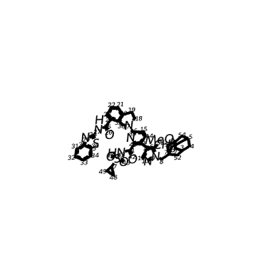 COC12CC3CC(CC(Cn4ncc(-c5ccc(N6CCc7cccc(C(=O)Nc8nc9ccccc9s8)c7C6)nc5C(=O)NS(=O)(=O)C5CC5)c4C)(C3)C1)C2